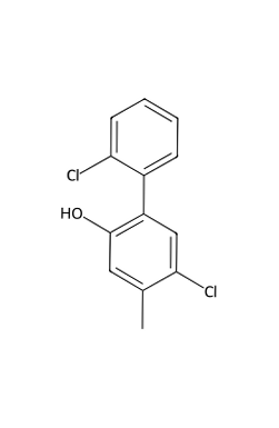 Cc1cc(O)c(-c2ccccc2Cl)cc1Cl